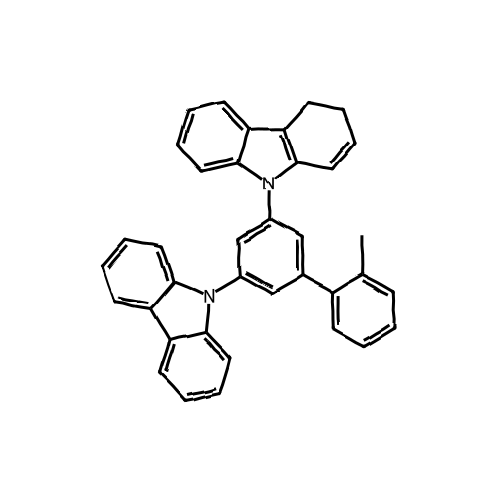 Cc1ccccc1-c1cc(-n2c3c(c4ccccc42)CCC=C3)cc(-n2c3ccccc3c3ccccc32)c1